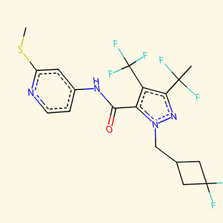 CSc1cc(NC(=O)c2c(C(F)(F)F)c(C(C)(F)F)nn2CC2CC(F)(F)C2)ccn1